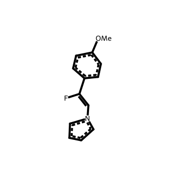 COc1ccc(/C(F)=C/n2cccc2)cc1